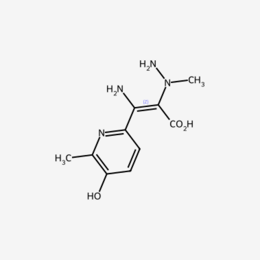 Cc1nc(/C(N)=C(\C(=O)O)N(C)N)ccc1O